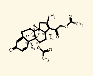 CC(=O)OCC(=O)C1=C(C)C[C@H]2[C@@H]3CCC4=CC(=O)C=C[C@]4(C)[C@@]3(F)[C@@H](OC(C)=O)C[C@]12C